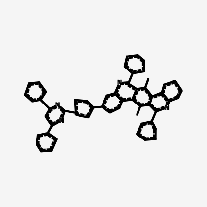 Cc1c2c(-c3ccccc3)nc3cc(-c4ccc(-c5nc(-c6ccccc6)cc(-c6ccccc6)n5)cc4)ccc3c2c(C)c2c(-c3ccccc3)nc3ccccc3c12